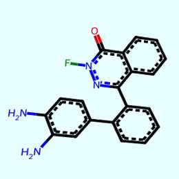 Nc1ccc(-c2ccccc2-c2nn(F)c(=O)c3ccccc23)cc1N